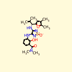 C=C(C)[C@@H](Nc1n[s+]([O-])nc1Nc1cccc(C(=O)N(C)C)c1O)c1cc(C)c(C)o1